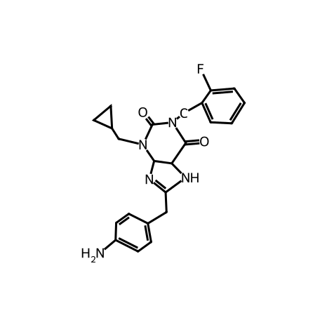 Nc1ccc(CC2=NC3C(N2)C(=O)N(Cc2ccccc2F)C(=O)N3CC2CC2)cc1